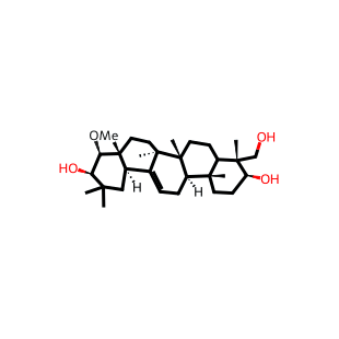 CO[C@@H]1[C@H](O)C(C)(C)C[C@@H]2C3=CC[C@@H]4[C@@]5(C)CC[C@H](O)[C@@](C)(CO)C5CC[C@@]4(C)[C@]3(C)CC[C@]21C